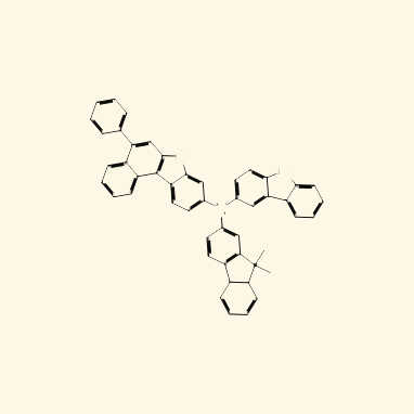 CC1(C)c2cc(N(c3ccc4c(c3)oc3cc(-c5ccccc5)c5ccccc5c34)c3ccc4oc5ccccc5c4c3)ccc2C2C=CC=CC21